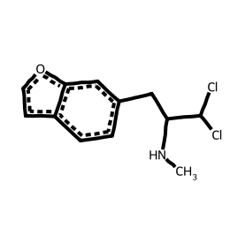 CNC(Cc1ccc2ccoc2c1)C(Cl)Cl